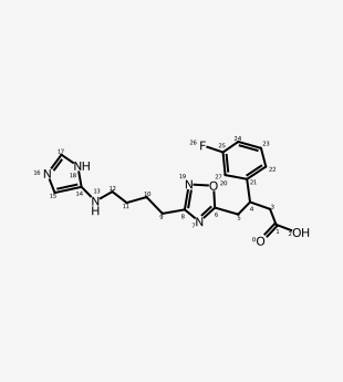 O=C(O)CC(Cc1nc(CCCCNc2cnc[nH]2)no1)c1cccc(F)c1